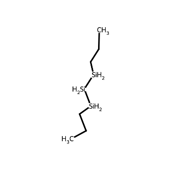 CCC[SiH2][SiH2][SiH2]CCC